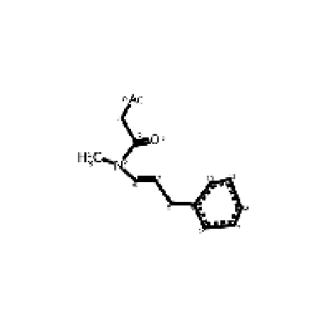 CC(=O)CC(=O)N(C)C=CCc1ccccc1